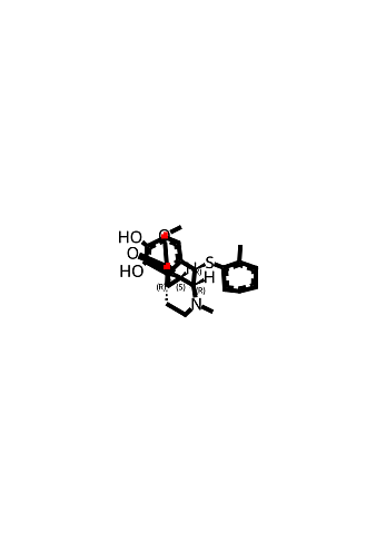 COC1=C[C@@H]2[C@@H]3[C@H](Sc4ccccc4C)c4ccc(O)c(O)c4[C@]2(CCN3C)CC1=O